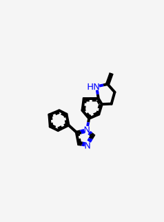 C=C1CCc2cc(-n3cncc3-c3ccccc3)ccc2N1